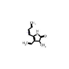 C=C/C=C\C1=C(C=C)C(C)C(=O)N1